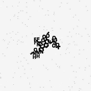 CCNC(=O)Nc1cc(-c2nc(C(F)(F)F)cs2)c(-c2ccc3c(c2)c(=O)c(C(=O)OCC)cn3CC2COCCN2C(=O)OC(C)(C)C)cn1